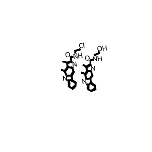 CC1=C(C(=O)NCCCl)N=c2cc3c(c(C)c21)=Nc1ccccc1-3.CC1=C(C(=O)NCCO)N=c2cc3c(c(C)c21)=Nc1ccccc1-3